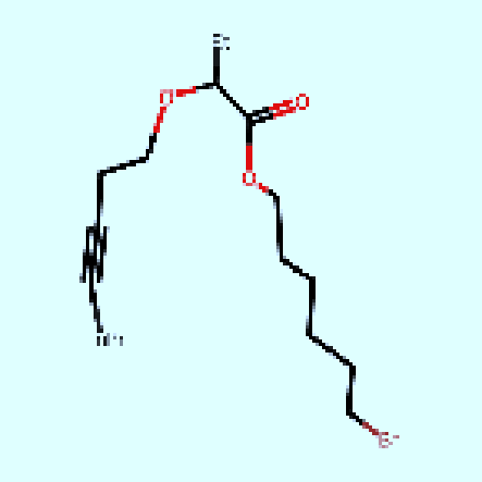 CCCC#CCCOC(CC)C(=O)OCCCCCCBr